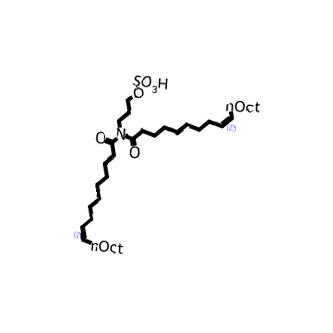 CCCCCCCC/C=C\CCCCCCCC(=O)N(CCCOS(=O)(=O)O)C(=O)CCCCCCC/C=C\CCCCCCCC